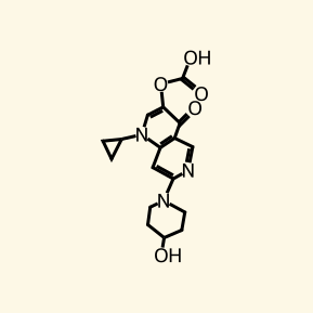 O=C(O)Oc1cn(C2CC2)c2cc(N3CCC(O)CC3)ncc2c1=O